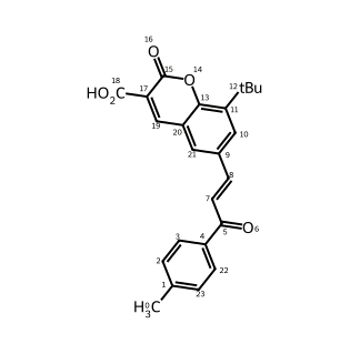 Cc1ccc(C(=O)C=Cc2cc(C(C)(C)C)c3oc(=O)c(C(=O)O)cc3c2)cc1